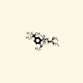 COc1ccc(C(C)(C)C)cc1S(=O)(=O)/N=C/N(C)C